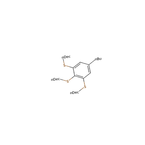 [CH2]CCCc1cc(SCCCCCCCCCC)c(SCCCCCCCCCC)c(SCCCCCCCCCC)c1